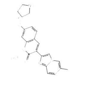 Cc1ccc2nc(-c3cc4ccc(O[C@@H]5CCNC5)cc4oc3=O)cn2c1.Cl